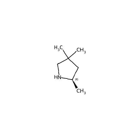 C[C@@H]1CC(C)(C)CN1